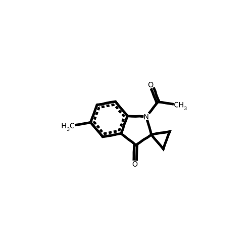 CC(=O)N1c2ccc(C)cc2C(=O)C12CC2